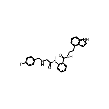 O=C(CNCc1ccc(F)cc1)Nc1ccccc1C(=O)NCCc1cccc2[nH]ccc12